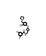 CN(CC1CC(Oc2ccc(CN3CCCC3)c(Cl)c2)C1)C(=O)c1cc(F)cc(F)c1